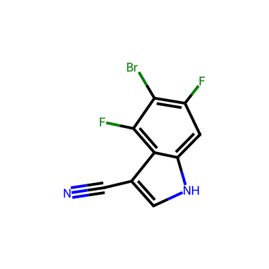 N#Cc1c[nH]c2cc(F)c(Br)c(F)c12